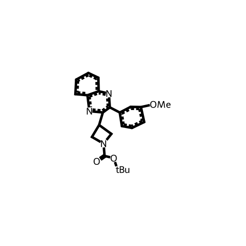 COc1cccc(-c2nc3ccccc3nc2C2CN(C(=O)OC(C)(C)C)C2)c1